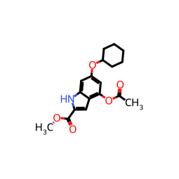 COC(=O)c1cc2c(OC(C)=O)cc(OC3CCCCC3)cc2[nH]1